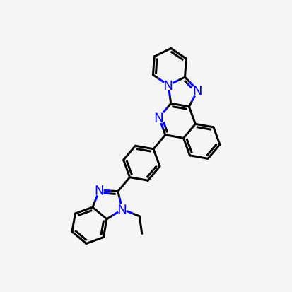 CCn1c(-c2ccc(-c3nc4c(nc5ccccn54)c4ccccc34)cc2)nc2ccccc21